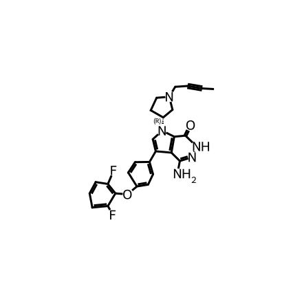 CC#CCN1CC[C@@H](n2cc(-c3ccc(Oc4c(F)cccc4F)cc3)c3c(N)n[nH]c(=O)c32)C1